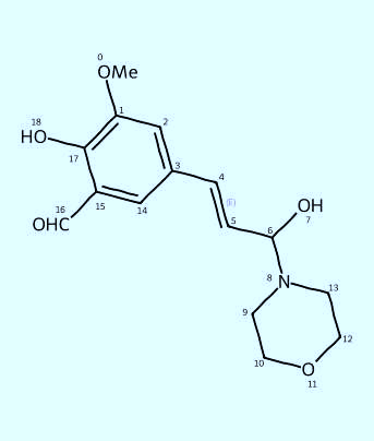 COc1cc(/C=C/C(O)N2CCOCC2)cc(C=O)c1O